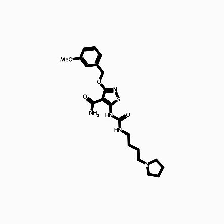 COc1cccc(COc2nsc(NC(=O)NCCCCN3CCCC3)c2C(N)=O)c1